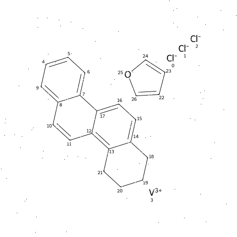 [Cl-].[Cl-].[Cl-].[V+3].c1ccc2c(c1)ccc1c3c(ccc12)CCCC3.c1ccoc1